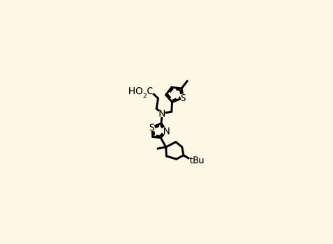 Cc1ccc(CN(CCC(=O)O)c2nc(C3(C)CCC(C(C)(C)C)CC3)cs2)s1